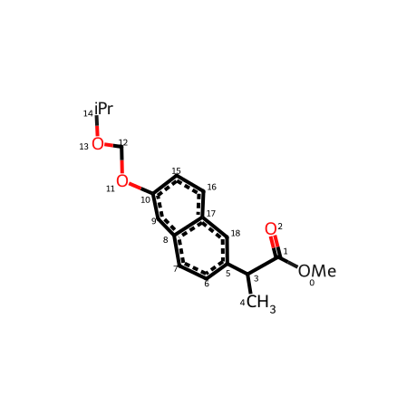 COC(=O)C(C)c1ccc2cc(OCOC(C)C)ccc2c1